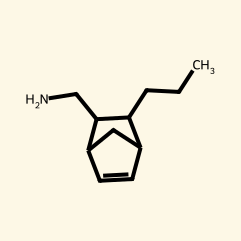 CCCC1C2C=CC(C2)C1CN